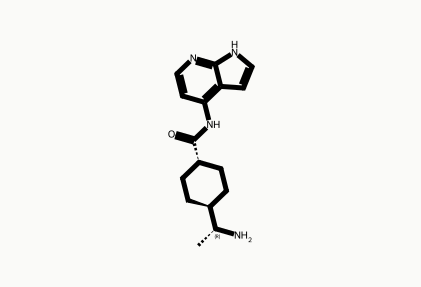 C[C@@H](N)[C@H]1CC[C@H](C(=O)Nc2ccnc3[nH]ccc23)CC1